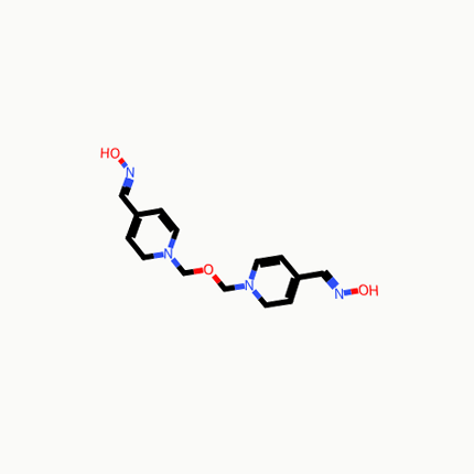 ON=CC1=CCN(COCN2C=CC(C=NO)=CC2)C=C1